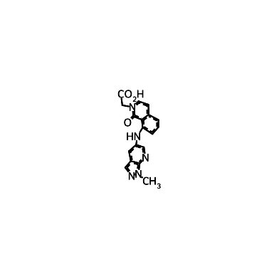 Cn1ncc2cc(Nc3cccc4ccn(CC(=O)O)c(=O)c34)cnc21